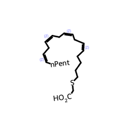 CCCCC/C=C\C/C=C\C/C=C\C/C=C\CCCCSCC(=O)O